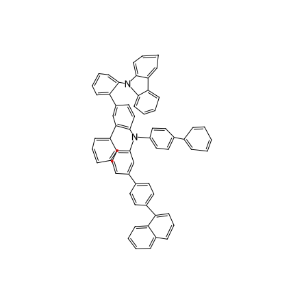 c1ccc(-c2ccc(N(c3cccc(-c4ccc(-c5cccc6ccccc56)cc4)c3)c3ccc(-c4ccccc4-n4c5ccccc5c5ccccc54)cc3-c3ccccc3)cc2)cc1